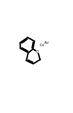 C1=Cc2ccccc2OC1.[Au].[Cu]